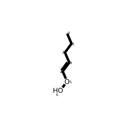 CCCC=COO